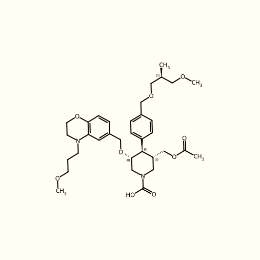 COCCCN1CCOc2ccc(CO[C@H]3CN(C(=O)O)C[C@@H](COC(C)=O)[C@@H]3c3ccc(COC[C@@H](C)COC)cc3)cc21